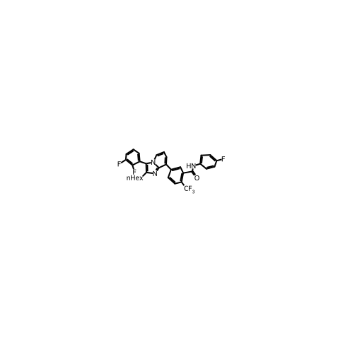 CCCCCCc1nc2c(-c3ccc(C(F)(F)F)c(C(=O)Nc4ccc(F)cc4)c3)cccn2c1-c1cccc(F)c1F